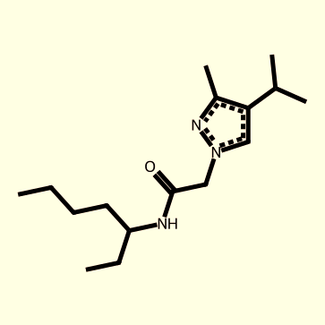 CCCCC(CC)NC(=O)Cn1cc(C(C)C)c(C)n1